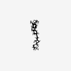 CCCC1CCC(C2CCC(CCc3ccc(-c4ccc(OCC)c(F)c4F)c(F)c3F)CO2)CO1